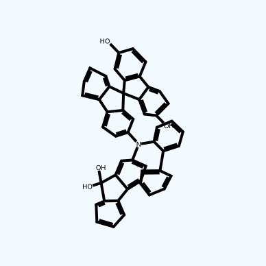 Oc1ccc2c(c1)C1(c3ccccc3-c3ccc(N(c4ccc5c(c4)C(O)(O)c4ccccc4-5)c4ccccc4-c4ccccc4)cc31)c1cc(O)ccc1-2